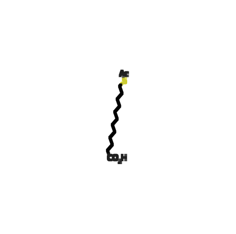 CC(=O)SCCCCCCCCCCCC(=O)O